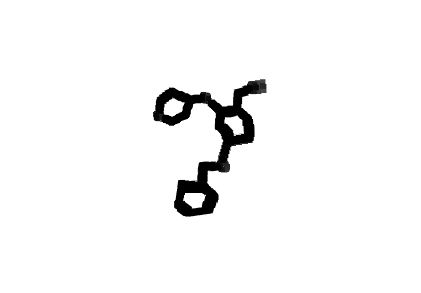 OCc1ccc(OCc2ccccc2)cc1OC1CCOCC1